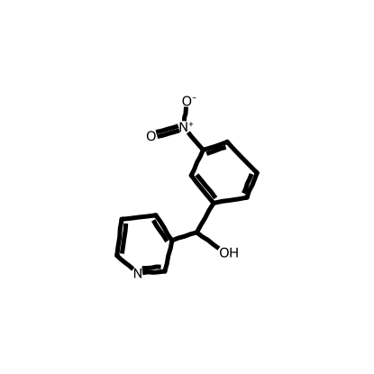 O=[N+]([O-])c1cccc(C(O)c2cccnc2)c1